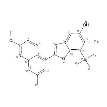 COc1cnc2c(-c3cc4cc(O)c(F)c([Si](C)(C)C)c4o3)cc(C)cc2n1